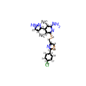 N#Cc1c(N)nc(SCc2csc(-c3ccc(Cl)cc3)n2)c(C#N)c1-c1cc[nH]n1